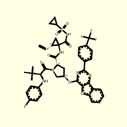 C=C[C@@H]1CC1(NC(=O)[C@@H]1C[C@@H](Oc2nc(-c3ccc(C(F)(F)F)cc3)nc3c2oc2ccccc23)CN1C(=O)C(Nc1ccc(F)cc1)C(C)(C)C)C(=O)NS(=O)(=O)C1CC1